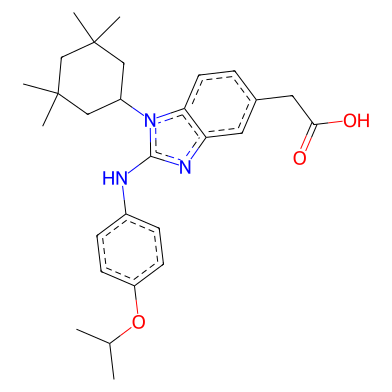 CC(C)Oc1ccc(Nc2nc3cc(CC(=O)O)ccc3n2C2CC(C)(C)CC(C)(C)C2)cc1